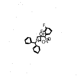 CS(=O)(=O)C(c1cccc(F)c1F)C1(O)CN(C(c2ccccc2)c2ccccc2)C1